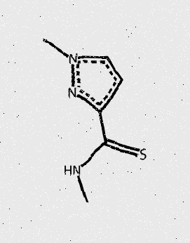 CNC(=S)c1ccn(C)n1